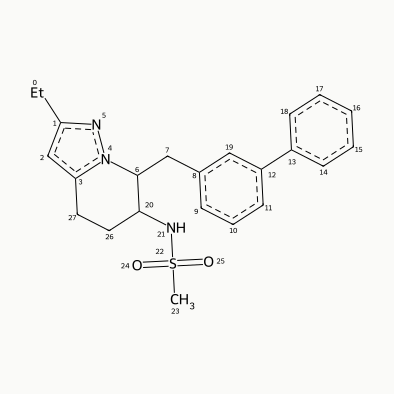 CCc1cc2n(n1)C(Cc1cccc(-c3ccccc3)c1)C(NS(C)(=O)=O)CC2